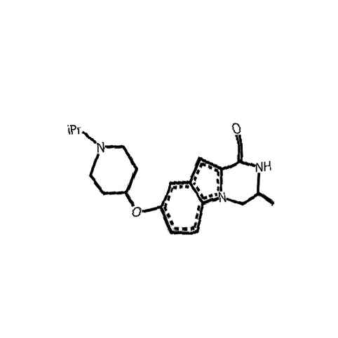 CC1Cn2c(cc3cc(OC4CCN(C(C)C)CC4)ccc32)C(=O)N1